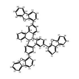 c1ccc2c(c1)B1c3ccc(-c4cccc5c4oc4ccccc45)cc3-c3cc(-c4cccc5c4oc4ccccc45)ccc3N1c1ccc(-c3cccc4c3oc3ccccc34)cc1-2